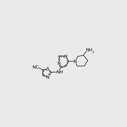 N#Cc1cnc(Nc2cc(N3CCCC(N)C3)ncn2)s1